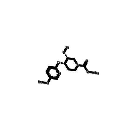 CCO[C@@H]1CN(C(=O)OC(C)(C)C)CC[C@@H]1Oc1ccc(OC(C)C)cn1